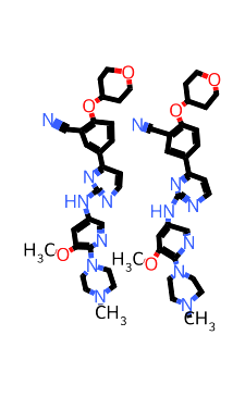 COc1cc(Nc2nccc(-c3ccc(OC4CCOCC4)c(C#N)c3)n2)cnc1N1CCN(C)CC1.COc1cc(Nc2nccc(-c3ccc(OC4CCOCC4)c(C#N)c3)n2)cnc1N1CCN(C)CC1